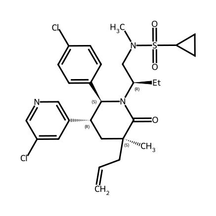 C=CC[C@@]1(C)C[C@H](c2cncc(Cl)c2)[C@@H](c2ccc(Cl)cc2)N([C@H](CC)CN(C)S(=O)(=O)C2CC2)C1=O